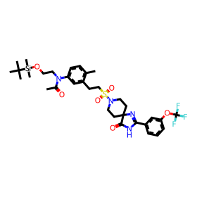 CC(=O)N(CCO[Si](C)(C)C(C)(C)C)c1ccc(C)c(CCS(=O)(=O)N2CCC3(CC2)N=C(c2cccc(OC(F)(F)F)c2)NC3=O)c1